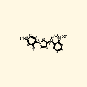 CN(c1ccccc1[N+](=O)[O-])C1CCN(c2ccc(Cl)cc2F)C1